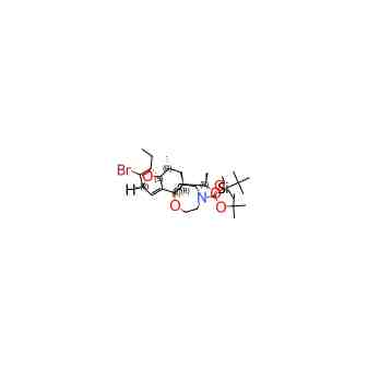 CCC1=C(Br)[C@H]2C=C3[C@@]1(O2)[C@H](C)C[C@@]12CN(C(=O)OC(C)(C)C)CCO[C@@]31CC=C2[C@@H](C)O[Si](C)(C)C(C)(C)C